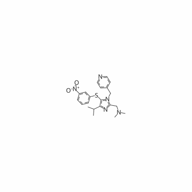 CC(C)c1nc(CN(C)C)n(Cc2ccncc2)c1Sc1cccc([N+](=O)[O-])c1